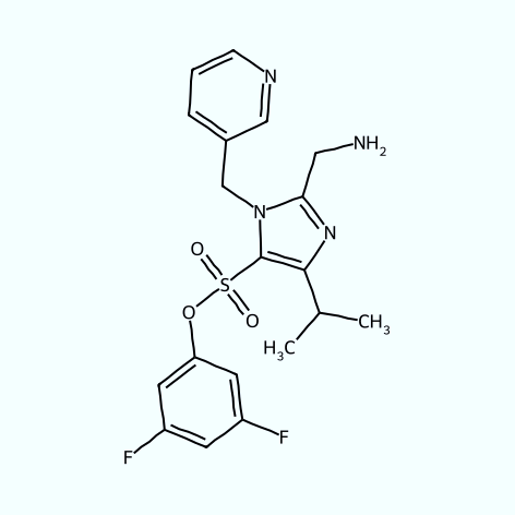 CC(C)c1nc(CN)n(Cc2cccnc2)c1S(=O)(=O)Oc1cc(F)cc(F)c1